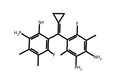 Cc1c(N)c(P)c(C)c(C(=C2CC2)c2c(F)c(C)c(C)c(P)c2S)c1F